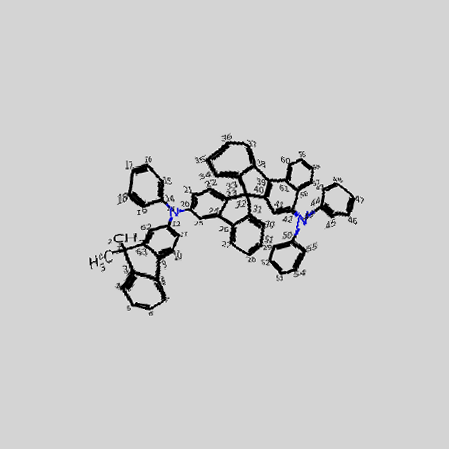 CC1(C)c2ccccc2-c2ccc(N(c3ccccc3)c3ccc4c(c3)-c3ccccc3C43c4ccccc4-c4c3cc(N(c3ccccc3)c3ccccc3)c3ccccc43)cc21